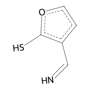 N=Cc1ccoc1S